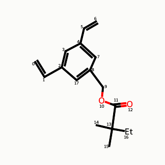 C=Cc1cc(C=C)cc(COC(=O)C(C)(C)CC)c1